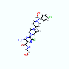 CC[C@H]1CN(c2nc(N)c(C(=O)NCCO)nc2Cl)CCN1C1CCN([C@@H](CO)c2ccc(Cl)cc2)CC1